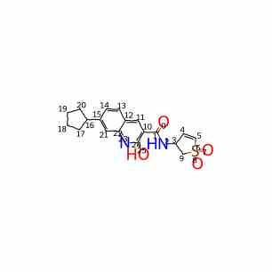 O=C(NC1C=CS(=O)(=O)C1)c1cc2ccc(C3CCCC3)cc2nc1O